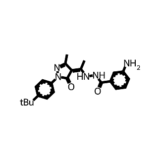 CC1=NN(c2ccc(C(C)(C)C)cc2)C(=O)/C1=C(/C)NNC(=O)c1cccc(N)c1